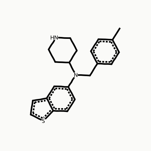 Cc1ccc(CN(c2ccc3sccc3c2)C2CCNCC2)cc1